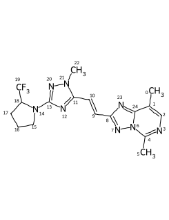 Cc1cnc(C)n2nc(C=Cc3nc(N4CCCC4C(F)(F)F)nn3C)nc12